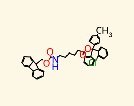 Cc1ccc(C(OC(=O)CCCCCNC(=O)OCC2c3ccccc3-c3ccccc32)(c2ccccc2)c2ccccc2Cl)cc1